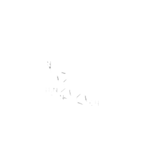 CCc1c(-c2ccc(O)cc2)cnc(N)c1-c1cccc(CC#N)c1